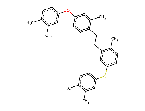 Cc1ccc(Oc2ccc(CCc3cc(Sc4ccc(C)c(C)c4)ccc3C)c(C)c2)cc1C